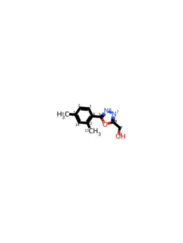 Cc1ccc(-c2nnc(CO)o2)c(C)c1